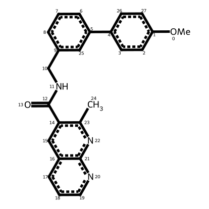 COc1ccc(-c2cccc(CNC(=O)c3cc4cccnc4nc3C)c2)cc1